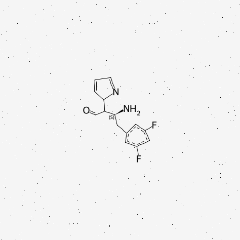 N[C@@H](Cc1cc(F)cc(F)c1)C(C=O)C1C=CC=N1